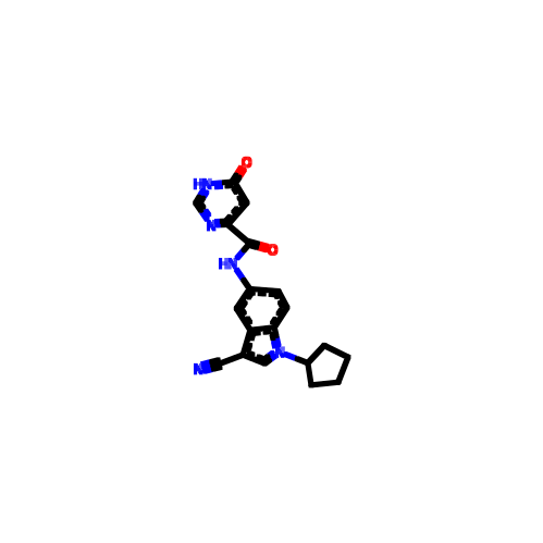 N#Cc1cn(C2CCCC2)c2ccc(NC(=O)c3cc(=O)[nH]cn3)cc12